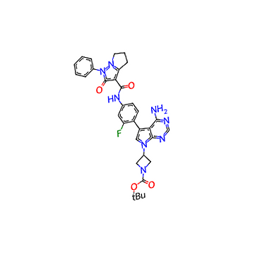 CC(C)(C)OC(=O)N1CC(n2cc(-c3ccc(NC(=O)c4c5n(n(-c6ccccc6)c4=O)CCC5)cc3F)c3c(N)ncnc32)C1